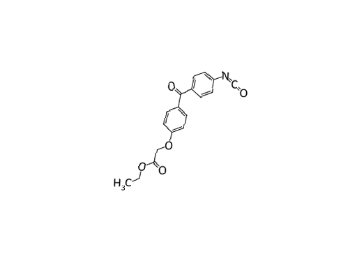 CCOC(=O)COc1ccc(C(=O)c2ccc(N=C=O)cc2)cc1